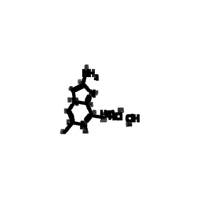 Cc1cn2cc(N)nc2c(C)n1.Cl.Cl.Cl